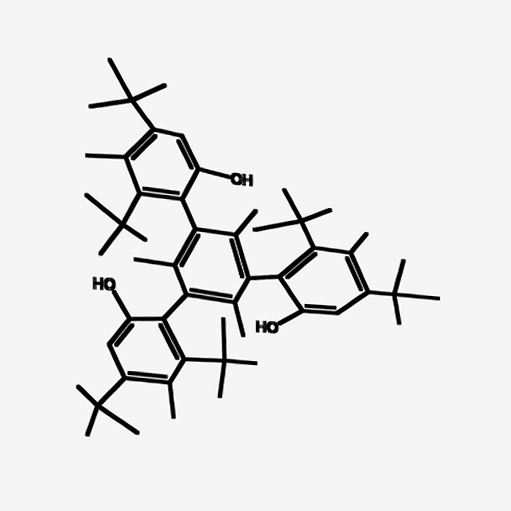 Cc1c(-c2c(O)cc(C(C)(C)C)c(C)c2C(C)(C)C)c(C)c(-c2c(O)cc(C(C)(C)C)c(C)c2C(C)(C)C)c(C)c1-c1c(O)cc(C(C)(C)C)c(C)c1C(C)(C)C